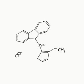 CCC1=[C]([Zr+2][CH]2c3ccccc3-c3ccccc32)CC=C1.[Cl-].[Cl-]